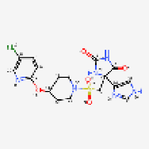 O=C1NC(=O)C(CS(=O)(=O)N2CCC(Oc3ccc(Cl)cn3)CC2)(c2c[nH]cn2)N1